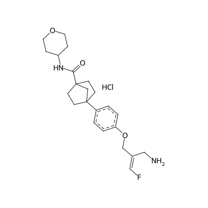 Cl.NC/C(=C\F)COc1ccc(C23CCC(C(=O)NC4CCOCC4)(CC2)C3)cc1